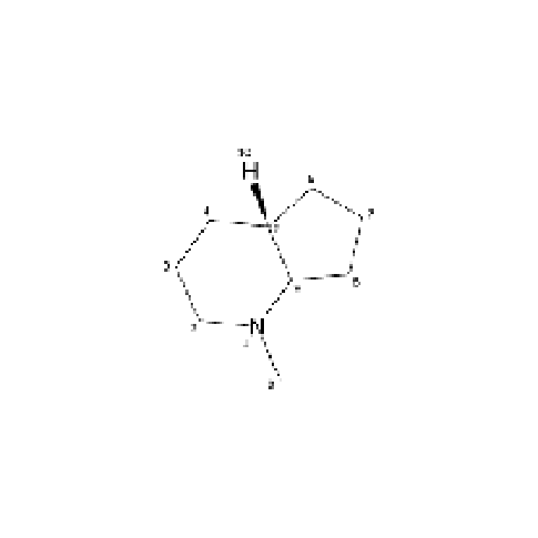 CN1CCC[C@@H]2CCCC21